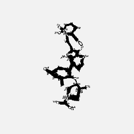 Cc1cc(Cl)cc(-c2ccnc3cc(CN4C(=O)CCCS4(=O)=O)sc23)c1O[C@@H]1CN(C(=O)O)C[C@@H]1F